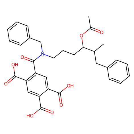 CC(=O)OC(CCCN(Cc1ccccc1)C(=O)c1cc(C(=O)O)c(C(=O)O)cc1C(=O)O)C(C)Cc1ccccc1